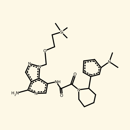 CN(C)c1cccc(C2CCCCN2C(=O)C(=O)Nc2cnc(N)c3cnn(COCC[Si](C)(C)C)c23)c1